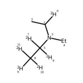 [2H]C(C)N(CC)C([2H])([2H])C([2H])([2H])[2H]